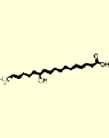 CCCCCC[C@H](O)CCCCCCCCCCC(=O)O